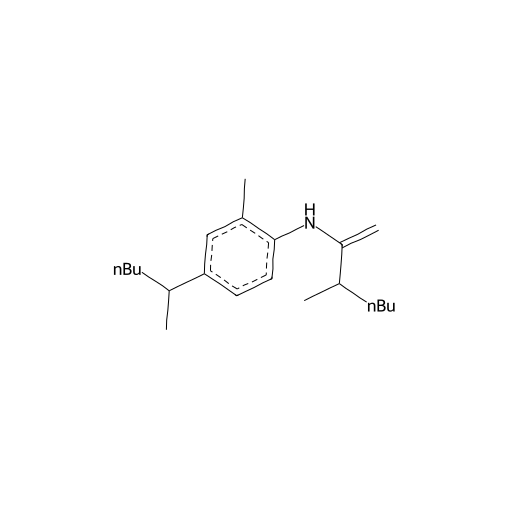 C=C(Nc1ccc(C(C)CCCC)cc1C)C(C)CCCC